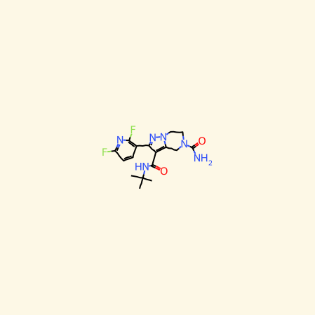 CC(C)(C)NC(=O)c1c(-c2ccc(F)nc2F)nn2c1CN(C(N)=O)CC2